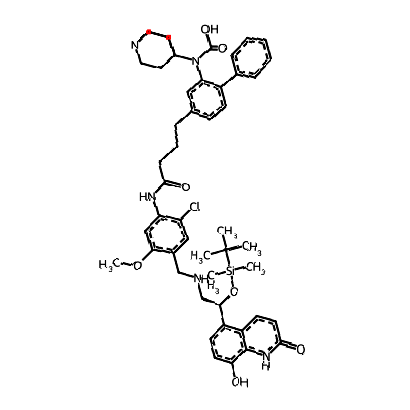 COc1cc(NC(=O)CCCc2ccc(-c3ccccc3)c(N(C(=O)O)C34CCN(CC3)CC4)c2)c(Cl)cc1CNC[C@@H](O[Si](C)(C)C(C)(C)C)c1ccc(O)c2[nH]c(=O)ccc12